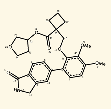 COc1ccc(-c2ccc3c(c2)CNC3=O)c(OCC2(C(=O)OC3CCOC3)CCC2)c1OC